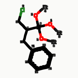 CCO[Si](OCC)(OCC)C(CCl)Cc1ccccc1